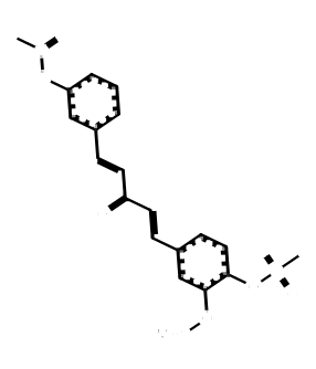 CSOc1cc(/C=C/C(=O)/C=C/c2cccc(OS(C)=O)c2)ccc1OS(C)(=O)=O